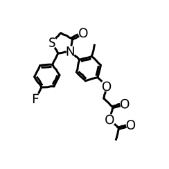 CC(=O)OC(=O)COc1ccc(N2C(=O)CSC2c2ccc(F)cc2)c(C)c1